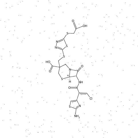 Nc1nc(C(=CCl)C(=O)NC2C(=O)N3CC(CSc4nnc(SCC(=O)O)s4)(C(=O)O)CS[C@H]23)cs1